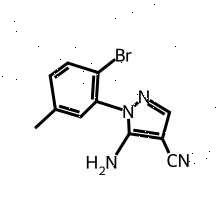 Cc1ccc(Br)c(-n2ncc(C#N)c2N)c1